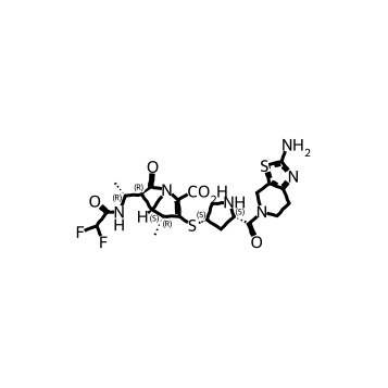 C[C@@H](NC(=O)C(F)F)[C@H]1C(=O)N2C(C(=O)O)=C(S[C@@H]3CN[C@H](C(=O)N4CCc5nc(N)sc5C4)C3)[C@H](C)[C@H]12